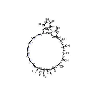 CC1OC(CC2/C=C/C=C/C=C/C=C/C=C/C=C/C=C/[C@H](C)[C@@H](O)[C@@H](C)[C@H](C)OC(=O)C[C@H](O)CC(O)C[C@H](O)CC(O)C[C@H](O)CC3(O)C[C@H](O)C(C(=O)O)C(C2)O3)C(O)C(N)C1O